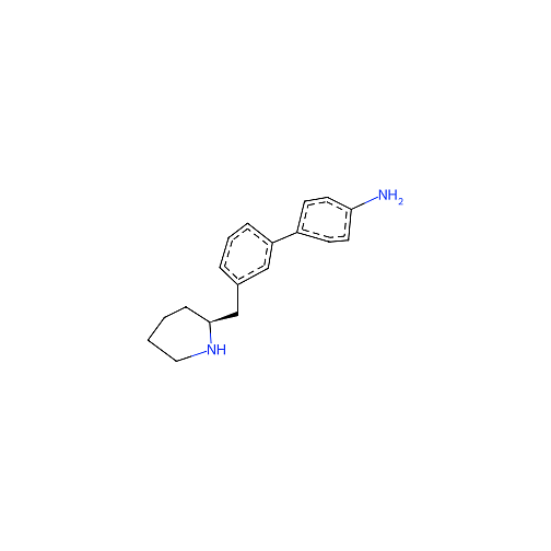 Nc1ccc(-c2cccc(C[C@@H]3CCCCN3)c2)cc1